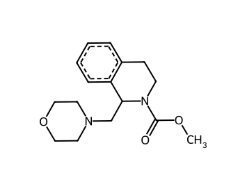 COC(=O)N1CCc2ccccc2C1CN1CCOCC1